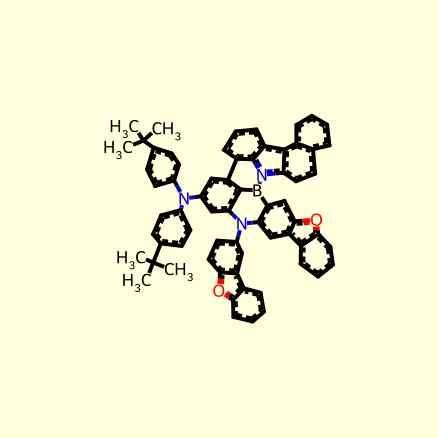 CC(C)(C)c1ccc(N(c2ccc(C(C)(C)C)cc2)c2cc3c4c(c2)N(c2ccc5oc6ccccc6c5c2)c2cc5c(cc2B4n2c4ccc6ccccc6c4c4cccc-3c42)oc2ccccc25)cc1